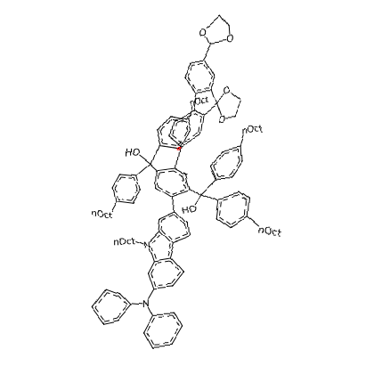 CCCCCCCCc1ccc(C(O)(c2ccc(CCCCCCCC)cc2)c2cc(-c3ccc4c5ccc(N(c6ccccc6)c6ccccc6)cc5n(CCCCCCCC)c4c3)c(C(O)(c3ccc(CCCCCCCC)cc3)c3ccc(CCCCCCCC)cc3)cc2-c2ccc3c(c2)C2(OCCO2)c2cc(C4OCCO4)ccc2-3)cc1